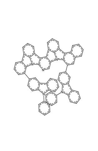 c1ccc(-n2c3ccccc3c3cc(-c4cc5ccccc5c5c6cccc7c8c9c%10cccc%11c%12cccc(-c%13ccc%14c(c%13)c%13ccccc%13n%14-c%13ccccc%13)c%12n(c9ncc8n(c45)c76)c%11%10)ccc32)cc1